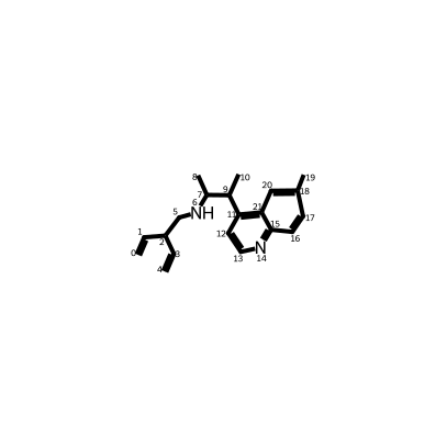 C=CC(C=C)CNC(C)C(C)c1ccnc2ccc(C)cc12